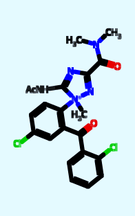 CC(=O)NC1=NC(C(=O)N(C)C)=N[N+]1(C)c1ccc(Cl)cc1C(=O)c1ccccc1Cl